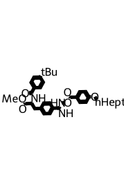 CCCCCCCOc1ccc(C(=O)ONC(=N)c2ccc(CC(NC(=O)c3ccc(C(C)(C)C)cc3)C(=O)OC)cc2)cc1